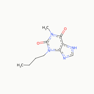 CCCCn1c(=O)n(C)c(=O)c2[nH]cnc21